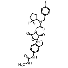 CNC(=O)Nc1ccc2c(c1)CC[C@@]21OC(=O)N(CC(=O)N(Cc2ccc(F)cc2)C2CCCC2(F)F)C1=O